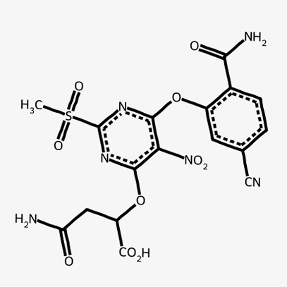 CS(=O)(=O)c1nc(Oc2cc(C#N)ccc2C(N)=O)c([N+](=O)[O-])c(OC(CC(N)=O)C(=O)O)n1